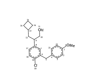 COc1ccc(Cc2cc(C(CO)CC3CCC3)ccc2Cl)cc1